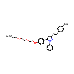 COCCOCCOCCOc1ccc(C2CC(/C=C/c3ccc(C(C)(C)C)cc3)=NN2c2ccccc2)cc1